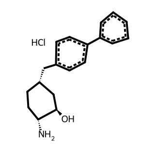 Cl.N[C@@H]1CC[C@H](Cc2ccc(-c3ccccc3)cc2)C[C@H]1O